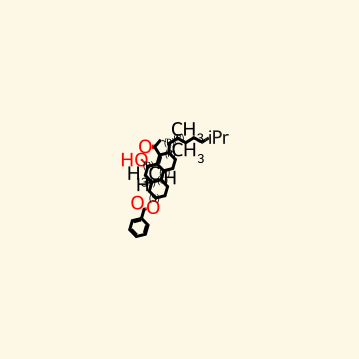 CC(C)CCC[C@@H](C)[C@H]1CC(=O)C2=C3[C@H](O)C[C@H]4C[C@@H](OC(=O)c5ccccc5)CC[C@]4(C)[C@H]3CC[C@@]21C